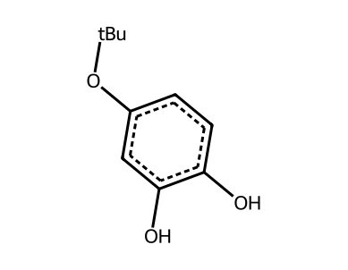 CC(C)(C)Oc1ccc(O)c(O)c1